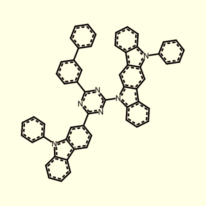 c1ccc(-c2cccc(-c3nc(-c4ccc5c6ccccc6n(-c6ccccc6)c5c4)nc(-n4c5ccccc5c5cc6c(cc54)c4ccccc4n6-c4ccccc4)n3)c2)cc1